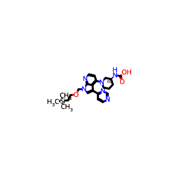 C[Si](C)(C)CCOCn1cc(-c2ccncn2)c2c(N3CCC[C@H](NC(=O)O)C3)ccnc21